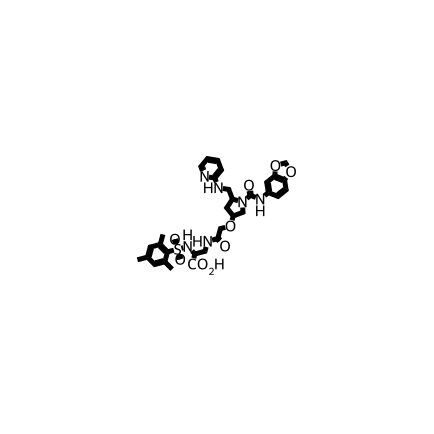 Cc1cc(C)c(S(=O)(=O)NC(CNC(=O)COC2CC(CNc3ccccn3)N(C(=O)Nc3ccc4c(c3)OCO4)C2)C(=O)O)c(C)c1